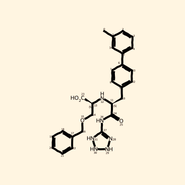 Cc1cccc(-c2ccc(C[C@H](N[C@@H](COCc3ccccc3)C(=O)O)C(=O)NC3=NNNN3)cc2)c1